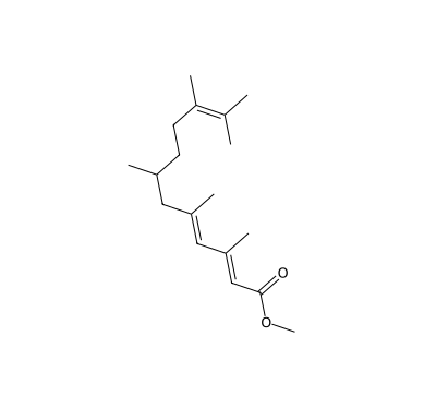 COC(=O)/C=C(C)/C=C(\C)CC(C)CCC(C)=C(C)C